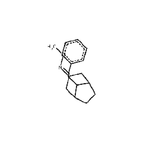 CON=C1CC2CCC(C1)C2Cc1ccccc1